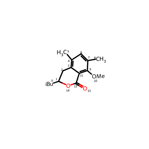 CCC(C)C1Cc2c(C)cc(C)c(OC)c2C(=O)O1